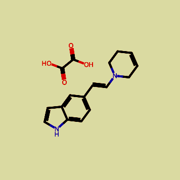 C1=CCN(C=Cc2ccc3[nH]ccc3c2)CC1.O=C(O)C(=O)O